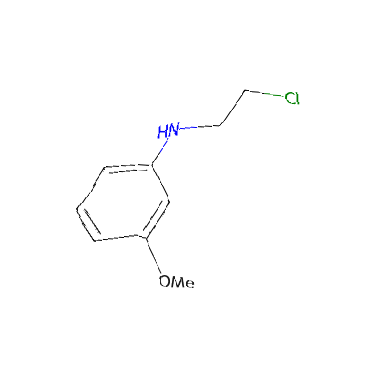 COc1cccc(NCCCl)c1